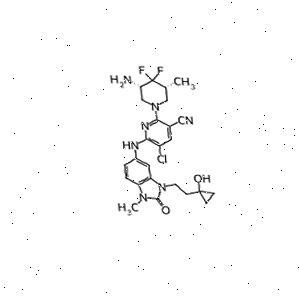 C[C@@H]1CN(c2nc(Nc3ccc4c(c3)n(CCC3(O)CC3)c(=O)n4C)c(Cl)cc2C#N)C[C@H](N)C1(F)F